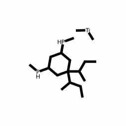 CCC(C)C1(C(C)CC)CC(PC)CC(PC)C1.[CH3][Ti][CH3]